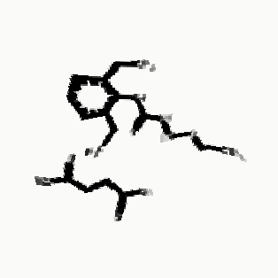 CCONNC(=O)Nc1c(CC)cccc1CC.O=C(O)CCC(=O)O